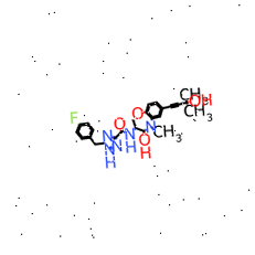 CN1c2cc(C#CC(C)(C)O)ccc2OCC(NC(=O)c2n[nH]c(Cc3ccc(F)cc3)n2)C1O